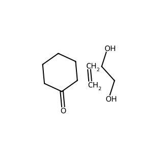 C=C.O=C1CCCCC1.OCCO